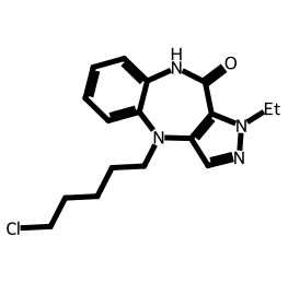 CCn1ncc2c1C(=O)Nc1ccccc1N2CCCCCCl